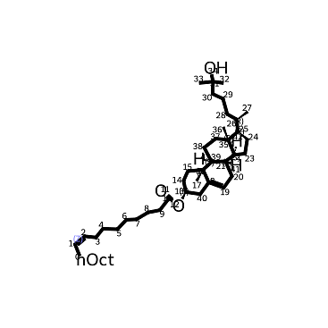 CCCCCCCC/C=C\CCCCCCCC(=O)O[C@H]1CC[C@@]2(C)C(=CC[C@H]3[C@@H]4CC[C@H]([C@H](C)CCCC(C)(C)O)[C@@]4(C)CC[C@@H]32)C1